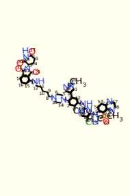 Cc1cc(N2CCN(CCCCCNc3cccc4c3C(=O)N(C3CCC(=O)NC3=O)C4=O)CC2)c(-c2cnn(C)c2)cc1Nc1ncc(Cl)c(Nc2ccc3nccnc3c2P(C)(C)=O)n1